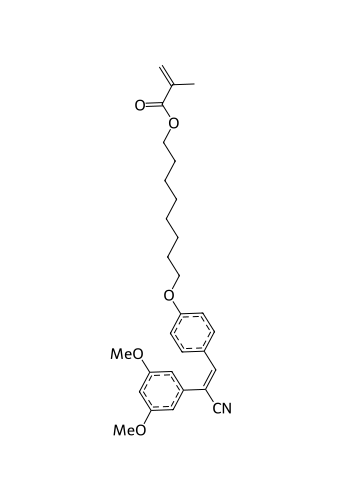 C=C(C)C(=O)OCCCCCCCCOc1ccc(C=C(C#N)c2cc(OC)cc(OC)c2)cc1